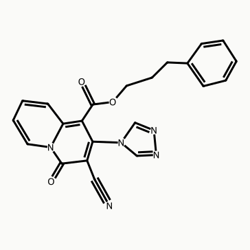 N#Cc1c(-n2cnnc2)c(C(=O)OCCCc2ccccc2)c2ccccn2c1=O